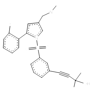 CNCc1cc(-c2ccccc2F)n(S(=O)(=O)c2cccc(C#CC(C)(C)O)c2)c1